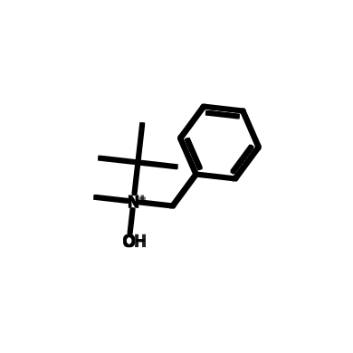 CC(C)(C)[N+](C)(O)Cc1ccccc1